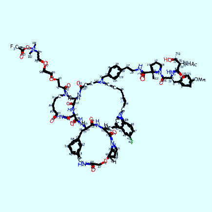 COc1ccc(C[C@H](NC(=O)[C@@H](NC(C)=O)[C@@H](C)O)C(=O)N2CCC[C@@]2(C)C(=O)NCCc2ccc(CN3CCC/C=C/Cn4cc(c5cc(F)ccc54)C[C@@H]4NC(=O)[C@H](Cc5cccc(c5)CNC(=O)CO[C@H]5CCN(C4=O)[C@@H]5C)NC(=O)[C@H]4CNC(=O)CCCCN(C(=O)CCOCCOCC[N+](C)(C)OC(=O)C(F)(F)F)C[C@H](NC(=O)CCC3)C(=O)N4)cc2)cc1